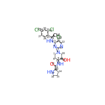 C[C@@H](Nc1nc(N2CC[C@H](NC(=O)[C@H]3CCCN3)[C@@H](O)C2)ncc1Cl)c1ccc(Cl)cc1Cl